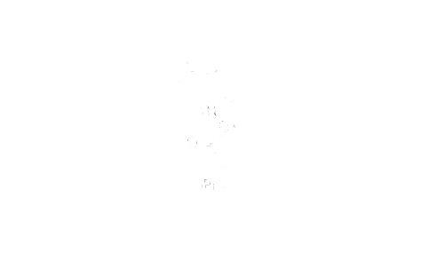 CC(C)CC(=O)ON1CCCCC1